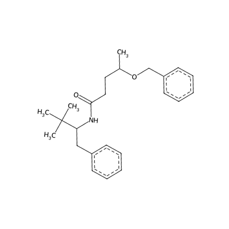 CC(CCC(=O)NC(Cc1ccccc1)C(C)(C)C)OCc1ccccc1